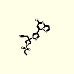 CCS(=O)(=O)N1CC(CC#N)(n2cc(-c3cc(Cl)nc4ccnn34)cn2)C1